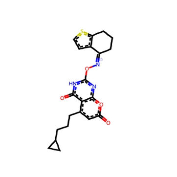 O=c1cc(CCCC2CC2)c2c(=O)[nH]c(O/N=C3/CCCc4sccc43)nc2o1